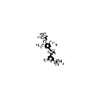 Cc1cc(-c2noc(-c3cc(Cl)nc(N(C)C(C)C)c3)n2)cc(C)c1OCC(O)CO